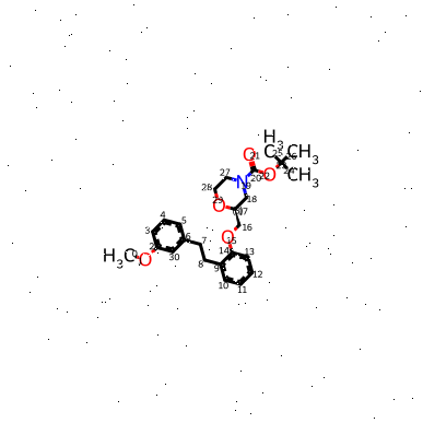 COc1cccc(CCc2ccccc2OC[C@@H]2CN(C(=O)OC(C)(C)C)CCO2)c1